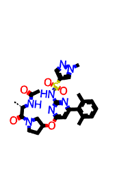 CC(=O)N[C@@H](C)C(=O)N1CCC(Oc2cc(-c3c(C)cccc3C)nc(NS(=O)(=O)c3cnn(C)c3)n2)C1